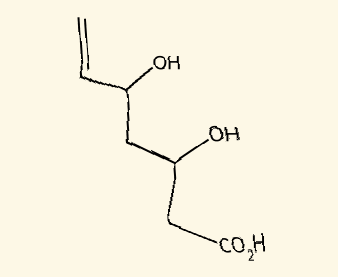 C=CC(O)CC(O)CC(=O)O